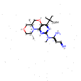 CSC(C)(C)c1nc(N(C)/C(N)=C/C=N)nc2c1OC[C@]1(C)COC[C@@H](C)N21